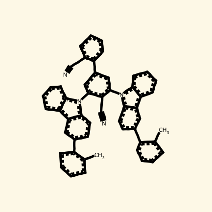 Cc1ccccc1-c1ccc2c(c1)c1ccccc1n2-c1cc(-c2ccccc2C#N)cc(-n2c3ccccc3c3cc(-c4ccccc4C)ccc32)c1C#N